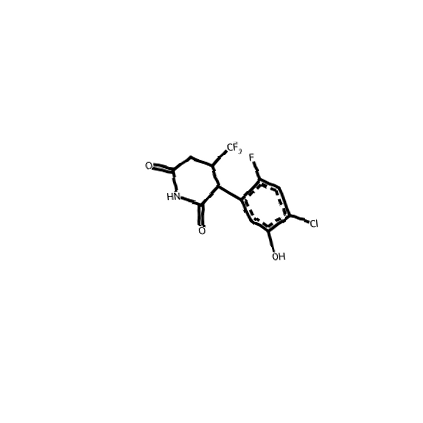 O=C1CC(C(F)(F)F)C(c2cc(O)c(Cl)cc2F)C(=O)N1